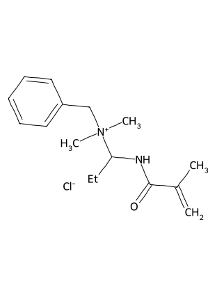 C=C(C)C(=O)NC(CC)[N+](C)(C)Cc1ccccc1.[Cl-]